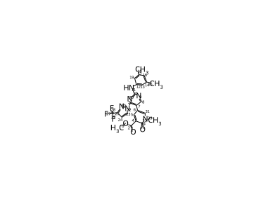 COC(=O)c1cc(-c2cnc(Nc3cc(C)cc(C)c3)nc2-n2ccc(C(F)(F)F)n2)cn(C)c1=O